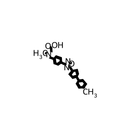 Cc1ccc(-c2ccc(-c3nc(-c4ccc(CN(C)CC(=O)O)cc4)no3)cc2)cc1